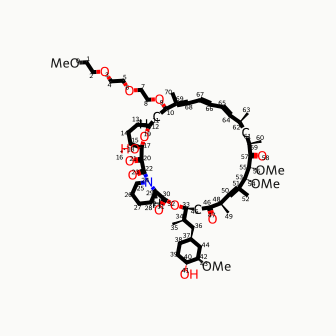 COCCOCCOCCOC1C[C@@H]2CC[C@@H](C)[C@@](O)(O2)C(=O)C(=O)N2CCCC[C@H]2C(=O)O[C@H]([C@H](C)C[C@@H]2CC[C@@H](O)[C@H](OC)C2)CC(=O)[C@H](C)/C=C(\C)[C@@H](OC)[C@@H](OC)C(=O)[C@H](C)C[C@H](C)/C=C/C=C/C=C/1C